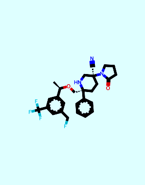 C[C@@H](OC[C@@]1(c2ccccc2)CC[C@](C#N)(N2CCCC2=O)CN1)c1cc(CF)cc(C(F)(F)F)c1